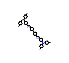 Cc1ccc(CC(c2ccc(C)cc2)c2ccc(/C=C/c3ccc(-c4ccc(/C=C/c5ccc(N(c6ccc(C)cc6)c6ccc(C)cc6)cc5)cc4)cc3)cc2)cc1